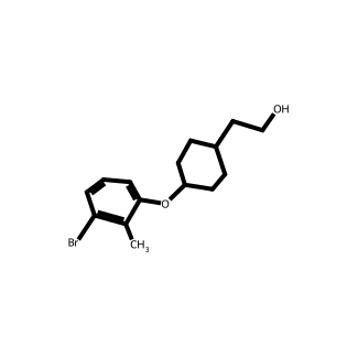 Cc1c(Br)cccc1OC1CCC(CCO)CC1